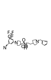 N#Cc1cc(OC(F)(F)F)cc(N2CCC(O)(C(=O)NCCC3CCN(Cc4ccccc4)CC3)CC2)c1